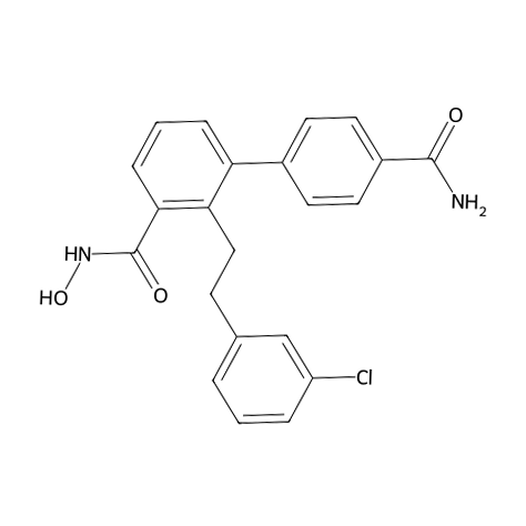 NC(=O)c1ccc(-c2cccc(C(=O)NO)c2CCc2cccc(Cl)c2)cc1